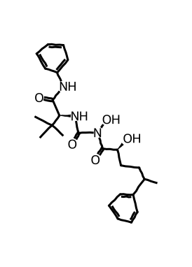 CC(CC[C@H](O)C(=O)N(O)C(=O)N[C@H](C(=O)Nc1ccccc1)C(C)(C)C)c1ccccc1